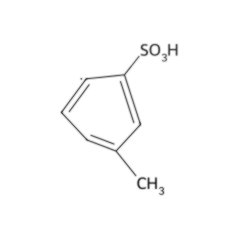 Cc1cc[c]c(S(=O)(=O)O)c1